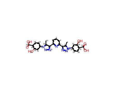 Cc1c(-c2cccc(-c3nnn(-c4ccc(C(=O)O)c(O)c4)c3C)n2)nnn1-c1ccc(C(=O)O)c(O)c1